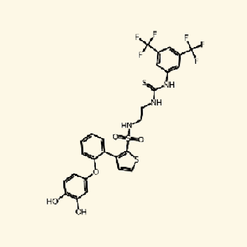 O=S(=O)(NCCNC(=S)Nc1cc(C(F)(F)F)cc(C(F)(F)F)c1)c1sccc1-c1ccccc1Oc1ccc(O)c(O)c1